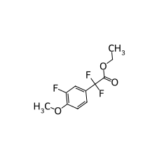 CCOC(=O)C(F)(F)c1ccc(OC)c(F)c1